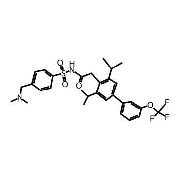 CC(C)c1cc(-c2cccc(OC(F)(F)F)c2)cc(C(C)C)c1CC(=O)NS(=O)(=O)c1ccc(CN(C)C)cc1